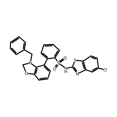 O=S(=O)(Nc1nc2cc(Cl)ccc2s1)c1ccccc1-c1cccc2c1N(Cc1ccccc1)CO2